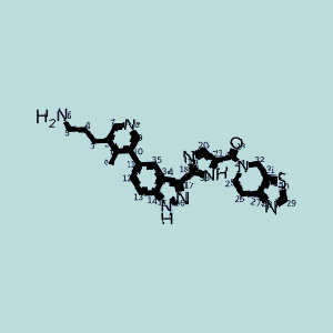 Cc1c(CCCN)cncc1-c1ccc2[nH]nc(-c3ncc(C(=O)N4CCc5ncsc5C4)[nH]3)c2c1